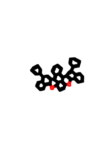 c1ccc(-c2cc3c(c4ccccc24)Oc2ccc4c5c(c6ccccc6c-3c25)-c2cc(-c3ccccc3)c3ccccc3c2O4)cc1